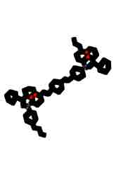 CCCCc1ccc(N(C=C(c2ccccc2)c2ccccc2)c2ccc(/C=C/c3ccc(/C=C/c4ccc(N(C=C(c5ccccc5)c5ccccc5)c5ccc(CCC)cc5)cc4)cc3)cc2)cc1